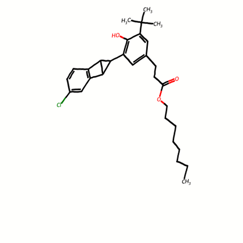 CCCCCCCCOC(=O)CCc1cc(C2C3c4ccc(Cl)cc4C32)c(O)c(C(C)(C)C)c1